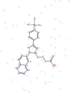 O=C(O)CCCN1N=C(c2ccc(C(F)(F)F)cc2)CC1c1ccc2nccnc2c1